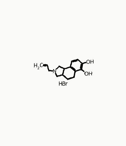 Br.C=CCN1CC2CCc3c(ccc(O)c3O)C2C1